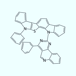 c1ccc(-c2nc(-n3c4ccccc4c4ccc5c(sc6c5c5ccccc5n6-c5ccccc5)c43)nc3c2cnc2ccccc23)cc1